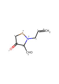 C=CCN1SCC(=O)C1C=O